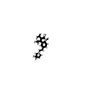 CC(C)c1c(C(F)(F)F)c2cc(CCN3CCC(F)(F)C3)ccc2n(C)c1=O